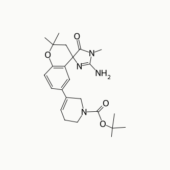 CN1C(=O)C2(CC(C)(C)Oc3ccc(C4=CCCN(C(=O)OC(C)(C)C)C4)cc32)N=C1N